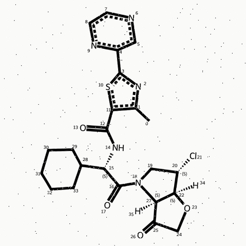 Cc1nc(-c2cnccn2)sc1C(=O)N[C@H](C(=O)N1C[C@H](Cl)[C@H]2OCC(=O)[C@H]21)C1CCCCC1